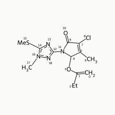 C=C(CC)OC1C(C)=C(Cl)C(=O)N1c1nc(SC)n(C)n1